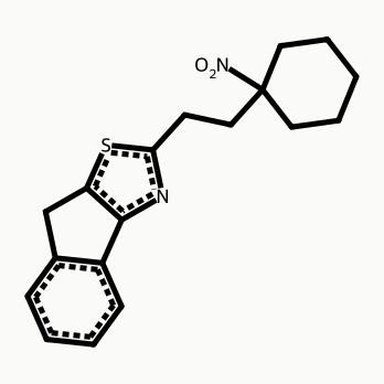 O=[N+]([O-])C1(CCc2nc3c(s2)Cc2ccccc2-3)CCCCC1